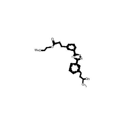 COCCOC(=O)CCc1cccc(-c2nnc(-c3cccc(CCC(C)O)c3)o2)c1